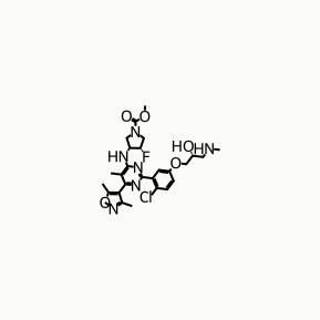 CNC[C@@H](O)COc1ccc(Cl)c(-c2nc(N[C@H]3CN(C(=O)OC)C[C@@H]3F)c(C)c(-c3c(C)noc3C)n2)c1